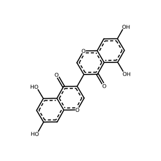 O=c1c(-c2coc3cc(O)cc(O)c3c2=O)coc2cc(O)cc(O)c12